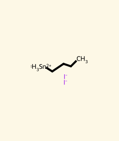 CCC[CH2][SnH3+2].[I-].[I-]